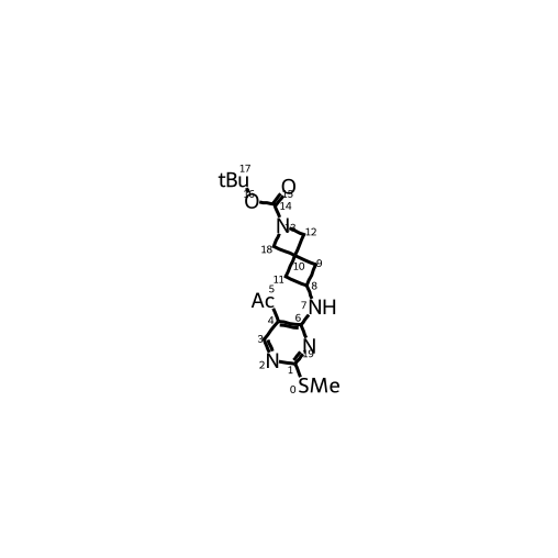 CSc1ncc(C(C)=O)c(NC2CC3(C2)CN(C(=O)OC(C)(C)C)C3)n1